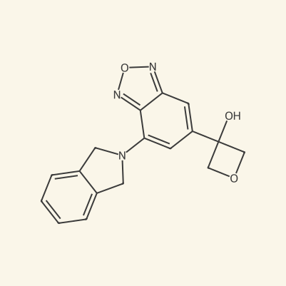 OC1(c2cc(N3Cc4ccccc4C3)c3nonc3c2)COC1